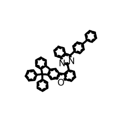 c1ccc(-c2ccc(-c3nc(-c4cccc5oc6cc7c(cc6c45)-c4ccccc4C7(c4ccccc4)c4ccccc4)nc4ccccc34)cc2)cc1